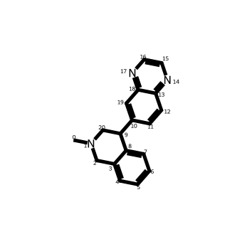 CN1Cc2ccccc2C(c2ccc3nccnc3c2)C1